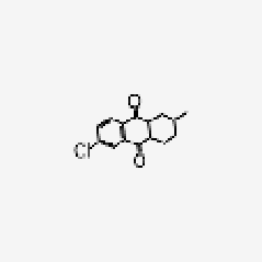 CC1CCC2C(=O)c3cc(Cl)ccc3C(=O)C2C1